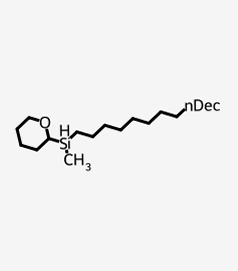 CCCCCCCCCCCCCCCCCC[SiH](C)C1CCCCO1